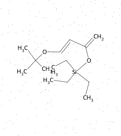 C=C(C=COC(C)(C)C)O[Si](CC)(CC)CC